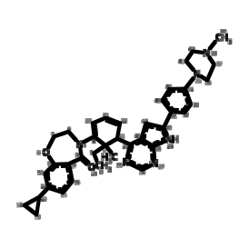 CCC1(C)C(N2CCOc3cc(C4CC4)ccc3C2=O)=CC=CC1c1ncnc2[nH]c(-c3ccc(N4CCN(C)CC4)cc3)cc12